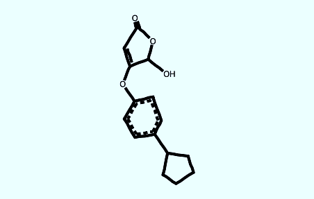 O=C1C=C(Oc2ccc(C3CCCC3)cc2)C(O)O1